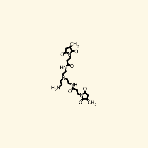 C=C1CC(=O)N(CCC(=O)NCCN(CCN)CCNC(=O)CCN2C(=O)CC(=C)C2=O)C1=O